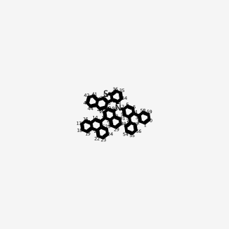 c1ccc(-c2ccc(N(c3ccc(-c4cc5ccccc5c5ccccc45)c4ccccc34)c3cccc4sc5c6ccccc6ccc5c34)cc2-c2ccccc2)cc1